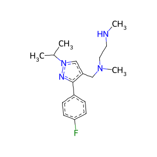 CNCCN(C)Cc1cn(C(C)C)nc1-c1ccc(F)cc1